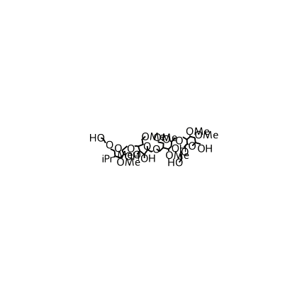 COCC1OC(COCC2C(COCCO)OC(CO)C(OC)C2OC)C(O)C(OC)C1COCC1OC(COC)C(COCC2OC(COCCO)C(C(C)C)C(OC)C2O)C(OC)C1O